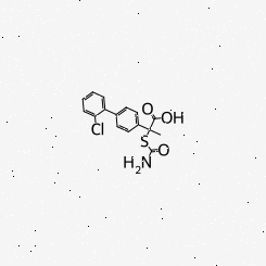 CC(SC(N)=O)(C(=O)O)c1ccc(-c2ccccc2Cl)cc1